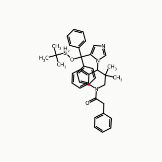 CC(C)(C)[SiH2]OC(c1ccccc1)(c1ccccc1)c1cncn1C1c2ccccc2N(C(=O)Cc2ccccc2)CC1(C)C